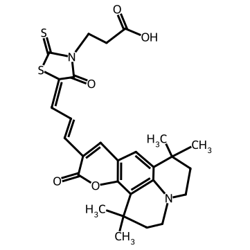 CC1(C)CCN2CCC(C)(C)c3c2c1cc1cc(C=CC=C2SC(=S)N(CCC(=O)O)C2=O)c(=O)oc31